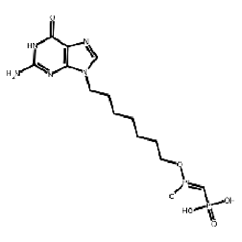 Nc1nc2c(ncn2CCCCCCCO/[P+]([O-])=C/P(=O)(O)O)c(=O)[nH]1